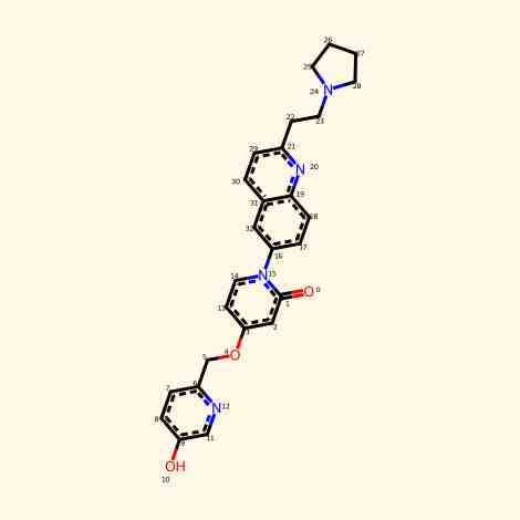 O=c1cc(OCc2ccc(O)cn2)ccn1-c1ccc2nc(CCN3CCCC3)ccc2c1